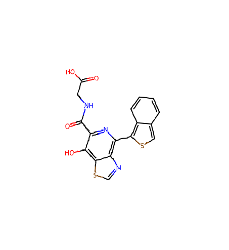 O=C(O)CNC(=O)c1nc(-c2scc3ccccc23)c2ncsc2c1O